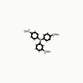 COc1ccc(N(c2ccc(C=O)cc2)c2cccc(OC)c2)cc1